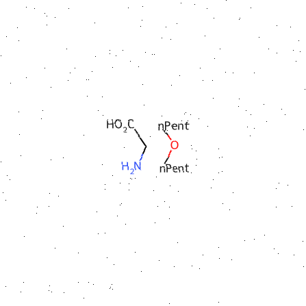 CCCCCOCCCCC.NCC(=O)O